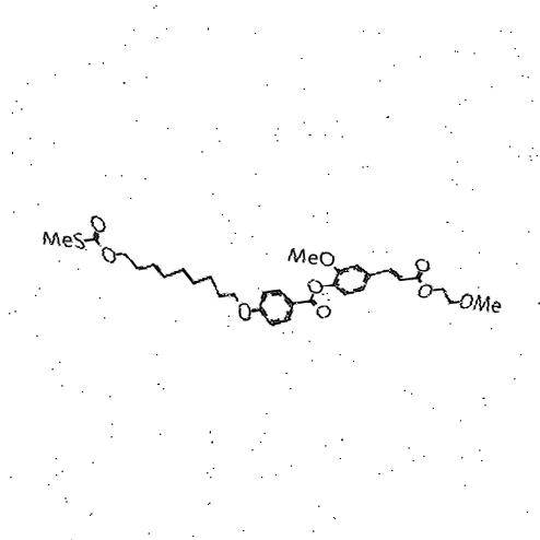 COCCOC(=O)/C=C/c1ccc(OC(=O)c2ccc(OCCCCCCCCCOC(=O)SC)cc2)c(OC)c1